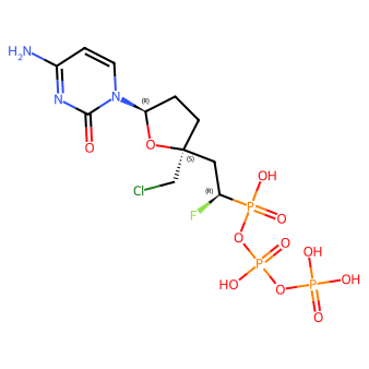 Nc1ccn([C@H]2CC[C@@](CCl)(C[C@H](F)P(=O)(O)OP(=O)(O)OP(=O)(O)O)O2)c(=O)n1